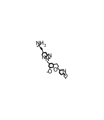 COc1ccc(C2CCc3cc(Cn4cnc5cc(C#CC(C)(C)N)cnc54)cc(OC)c3O2)cn1